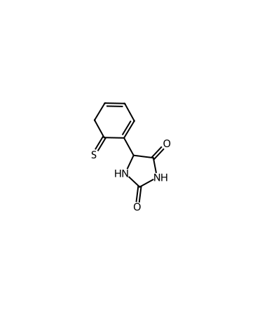 O=C1NC(=O)C(C2=CC=CCC2=S)N1